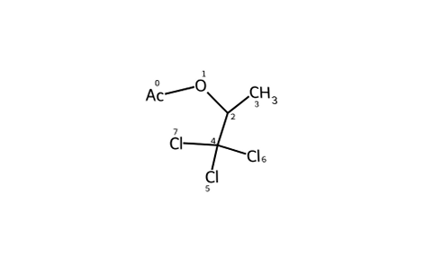 CC(=O)OC(C)C(Cl)(Cl)Cl